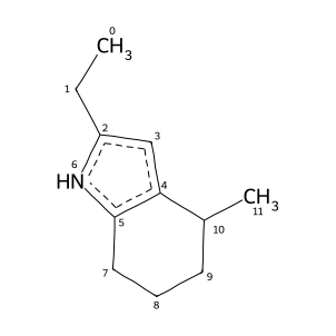 CCc1cc2c([nH]1)CCCC2C